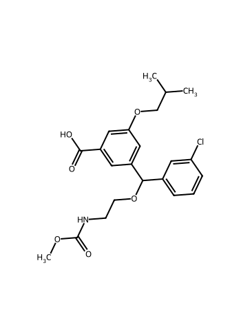 COC(=O)NCCOC(c1cccc(Cl)c1)c1cc(OCC(C)C)cc(C(=O)O)c1